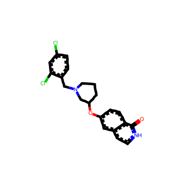 O=c1[nH]ccc2cc(OC3CCCN(Cc4ccc(Cl)cc4Cl)C3)ccc12